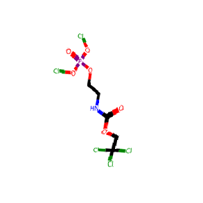 O=C(NCCOP(=O)(OCl)OCl)OCC(Cl)(Cl)Cl